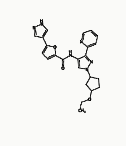 CCOC1CCC(n2cc(NC(=O)c3ccc(-c4cn[nH]c4)o3)c(-c3ccccn3)n2)C1